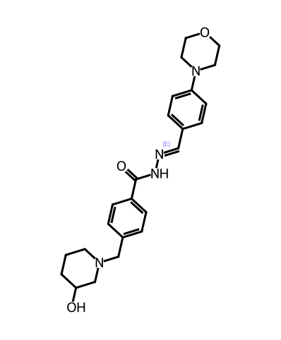 O=C(N/N=C/c1ccc(N2CCOCC2)cc1)c1ccc(CN2CCCC(O)C2)cc1